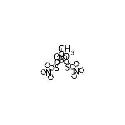 Cc1cc2c3c(c1)Oc1cc4c(cc1B3c1cc3sc5cc(N(c6ccccc6)c6ccccc6)c6ccccc6c5c3cc1O2)sc1cc(N(c2ccccc2)c2ccccc2)c2ccccc2c14